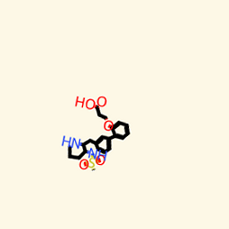 CS(=O)(=O)NC1CCCNC1Cc1cccc(-c2ccccc2OCCC(=O)O)c1